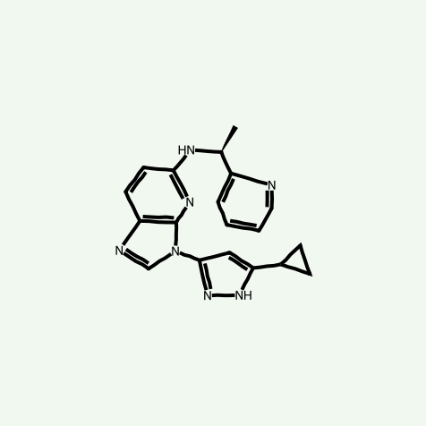 C[C@H](Nc1ccc2ncn(-c3cc(C4CC4)[nH]n3)c2n1)c1ccccn1